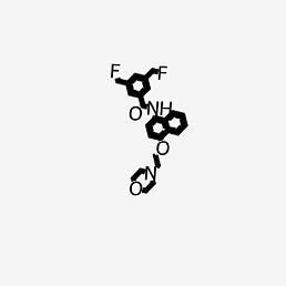 O=C(Nc1ccc(OCCN2CCOCC2)c2ccccc12)c1cc(CF)cc(CF)c1